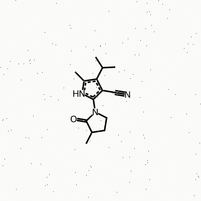 Cc1[nH]c(N2CCC(C)C2=O)c(C#N)c1C(C)C